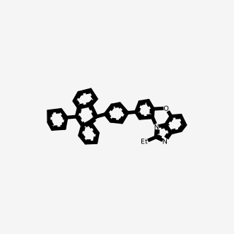 CCc1nc2cccc3c2n1-c1cc(-c2ccc(-c4c5ccccc5c(-c5ccccc5)c5ccccc45)cc2)ccc1O3